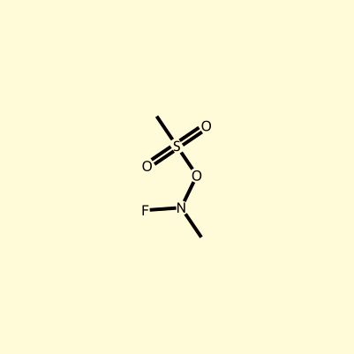 CN(F)OS(C)(=O)=O